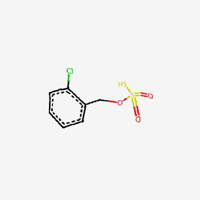 O=S(=O)(S)OCc1ccccc1Cl